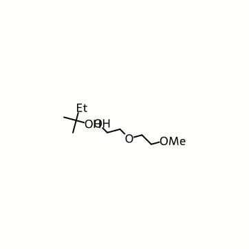 CCC(C)(C)O.COCCOCCO